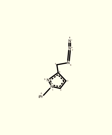 CC(C)n1ccc(CN=[N+]=[N-])n1